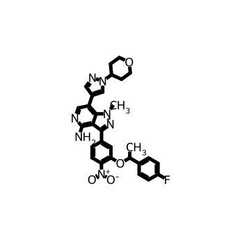 CC(Oc1cc(-c2nn(C)c3c(-c4cnn(C5CCOCC5)c4)cnc(N)c23)ccc1[N+](=O)[O-])c1ccc(F)cc1